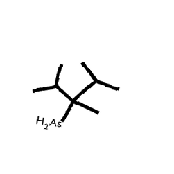 CC(C)C(C)([AsH2])C(C)C